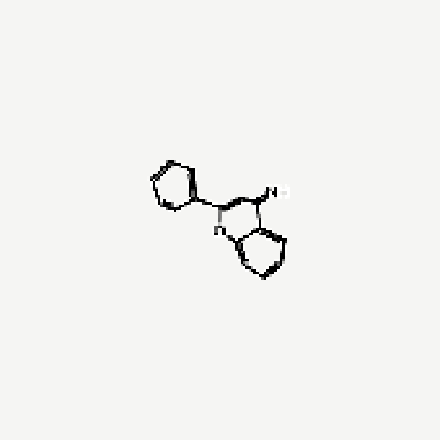 N=c1cc(-c2ccccc2)oc2ccccc12